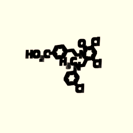 CN(Cc1c(Cl)cc(Cl)c(=O)n1CCc1ccc(C(=O)O)cc1)c1cccc(Cl)c1